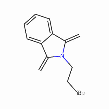 C=c1c2ccccc2c(=C)n1CCC(C)CC